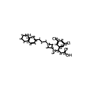 CN(C1CN(CCCc2ccc3c(n2)NCCC3)C1)C(CC(=O)O)c1cc(Cl)cc(Cl)c1